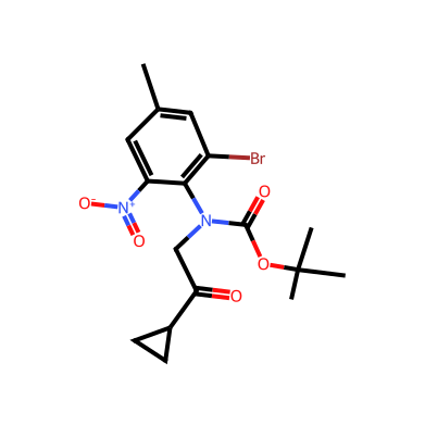 Cc1cc(Br)c(N(CC(=O)C2CC2)C(=O)OC(C)(C)C)c([N+](=O)[O-])c1